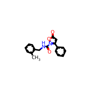 Cc1ccccc1CNC(=O)n1oc(=O)cc1-c1ccccc1